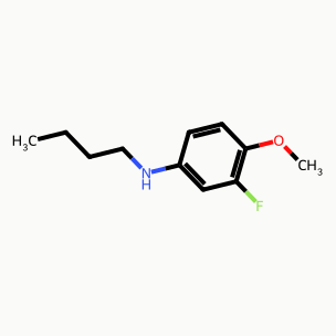 CCCCNc1ccc(OC)c(F)c1